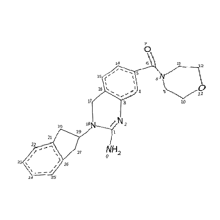 NC1=Nc2cc(C(=O)N3CCOCC3)ccc2CN1C1Cc2ccccc2C1